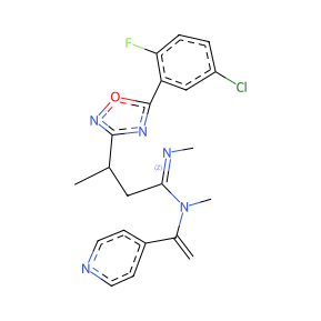 C=C(c1ccncc1)N(C)/C(CC(C)c1noc(-c2cc(Cl)ccc2F)n1)=N\C